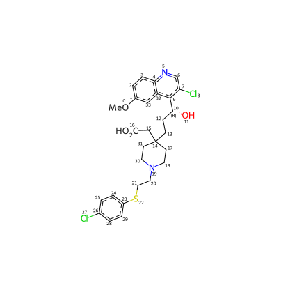 COc1ccc2ncc(Cl)c([C@H](O)CCC3(CC(=O)O)CCN(CCSc4ccc(Cl)cc4)CC3)c2c1